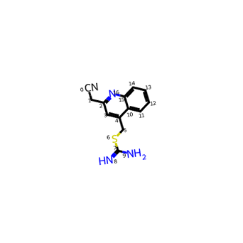 N#CCc1cc(CSC(=N)N)c2ccccc2n1